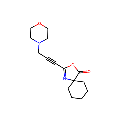 O=C1OC(C#CCN2CCOCC2)=NC12CCCCC2